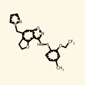 Cc1ccc(SNc2noc3cc(Cn4cccn4)c4c(c23)OCC4)c(OCC(F)(F)F)c1